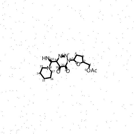 CC(=O)OCC1[CH][CH]C(N2N=NC(C(=N)N3CCCCC3)C(=O)C2=O)O1